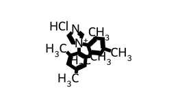 Cc1cc(C)c([N+]2(c3c(C)cc(C)cc3C)C=CN=C2)c(C)c1.Cl